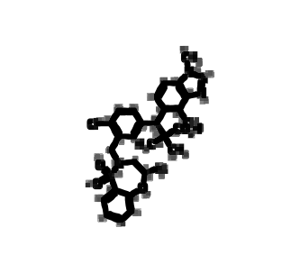 CC[C@@H]1CN(Cc2cc([C@@H](c3ccc4c(nnn4C)c3C)C(C)(C)C(=O)O)ccc2Cl)S(=O)(=O)c2ccccc2O1